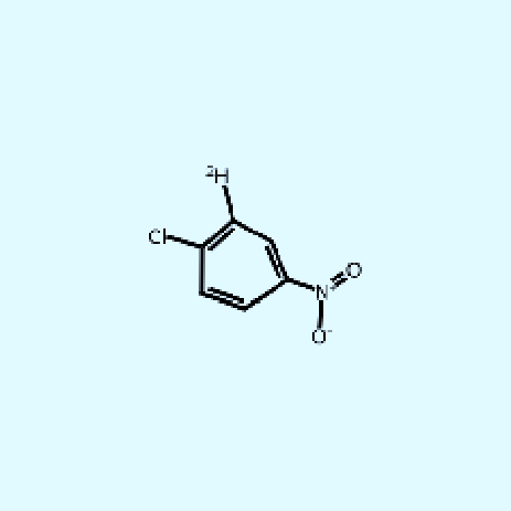 [2H]c1cc([N+](=O)[O-])ccc1Cl